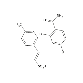 NC(=O)c1ccc(F)cc1Br.O=S(=O)(O)C=Cc1ccc(C(F)(F)F)cc1